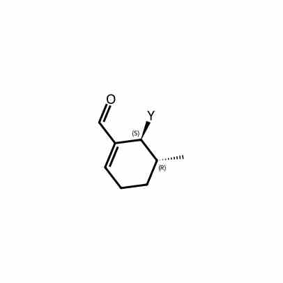 C[C@@H]1CCC=C(C=O)[C@H]1[Y]